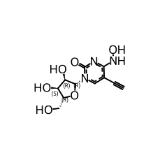 C#Cc1cn([C@@H]2O[C@H](CO)[C@@H](O)[C@H]2O)c(=O)nc1NO